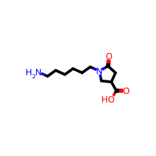 NCCCCCCN1CC(C(=O)O)CC1=O